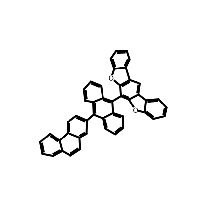 c1ccc2c(c1)ccc1cc(-c3c4ccccc4c(-c4c5oc6ccccc6c5cc5c4oc4ccccc45)c4ccccc34)ccc12